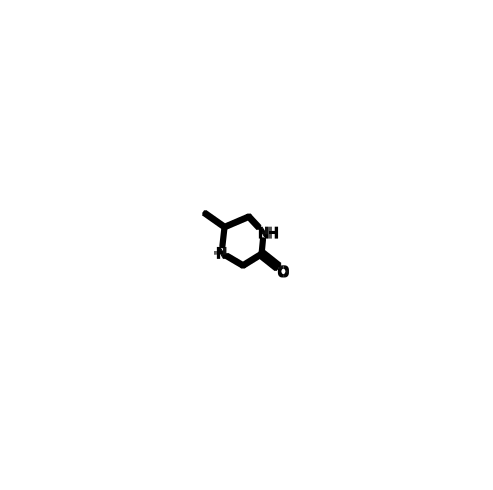 CC1CNC(=O)C[N]1